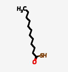 CCCCCCCCCCCC(=O)S